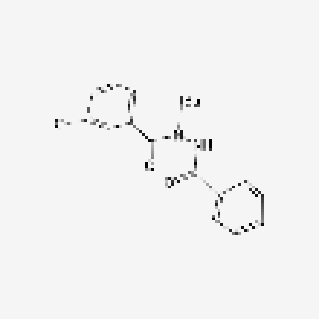 CC(C)(C)N(NC(=O)c1ccccc1)C(=O)c1cccc(Cl)c1